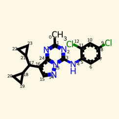 Cc1nc(Nc2ccc(Cl)cc2Cl)n2ncc(C(C3CC3)C3CC3)c2n1